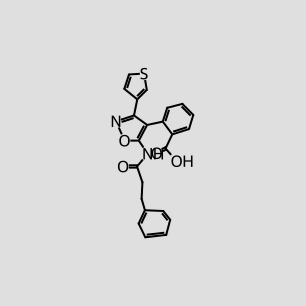 O=C(CCc1ccccc1)Nc1onc(-c2ccsc2)c1-c1ccccc1C(=O)O